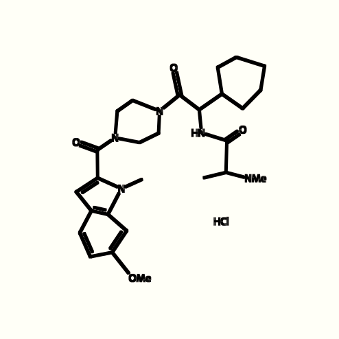 CNC(C)C(=O)NC(C(=O)N1CCN(C(=O)c2cc3ccc(OC)cc3n2C)CC1)C1CCCCC1.Cl